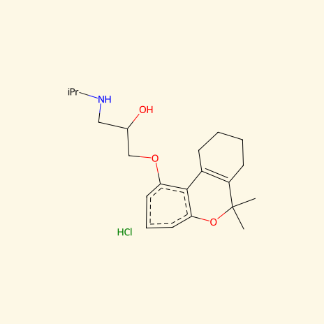 CC(C)NCC(O)COc1cccc2c1C1=C(CCCC1)C(C)(C)O2.Cl